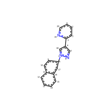 c1ccc(-c2cnn(-c3ccc4ccccc4c3)c2)nc1